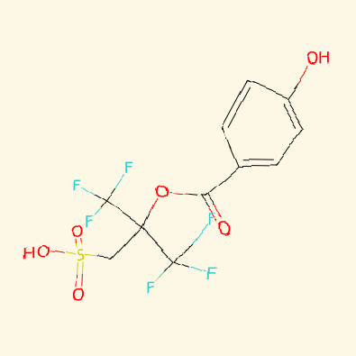 O=C(OC(CS(=O)(=O)O)(C(F)(F)F)C(F)(F)F)c1ccc(O)cc1